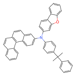 CC(C)(c1ccccc1)c1ccc(N(c2ccc3c(ccc4ccc5ccccc5c43)c2)c2ccc3c(c2)oc2ccccc23)cc1